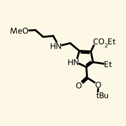 CCOC(=O)c1c(CNCCCOC)[nH]c(C(=O)OC(C)(C)C)c1CC